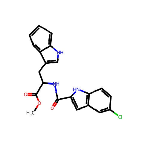 COC(=O)C(Cc1c[nH]c2ccccc12)NC(=O)c1cc2cc(Cl)ccc2[nH]1